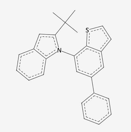 CC(C)(C)c1cc2ccccc2n1-c1cc(-c2ccccc2)cc2ccsc12